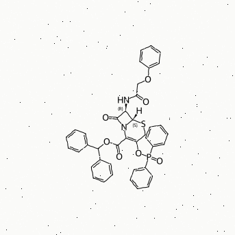 O=C(COc1ccccc1)N[C@@H]1C(=O)N2C(C(=O)OC(c3ccccc3)c3ccccc3)=C(OP(=O)(c3ccccc3)c3ccccc3)CS[C@@H]12